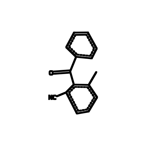 Cc1cccc(C#N)c1C(=O)c1ccccc1